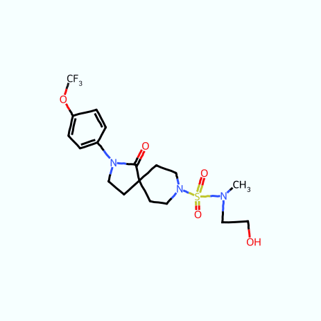 CN(CCO)S(=O)(=O)N1CCC2(CCN(c3ccc(OC(F)(F)F)cc3)C2=O)CC1